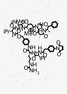 CC[C@H](C)C([C@@H](CC(=O)N1CCC[C@H]1[C@H](OC)[C@@H](C)C(=O)N[C@H](C)[C@@H](O)c1ccccc1)OC)N(C)C(=O)[C@@H](NC(=O)[C@H](C(C)C)N(C)C(=O)OCc1ccc(NC(=O)[C@H](CCCNC(N)=O)NC(=O)[C@@H](NC(=O)Cc2ccc(N3C(=O)C=CC3=O)cc2)C(C)C)cc1)C(C)C